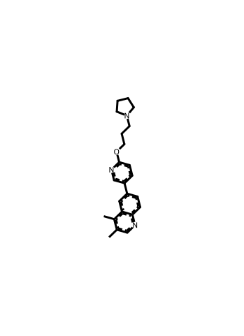 Cc1cnc2ccc(-c3ccc(OCCCN4CCCC4)nc3)cc2c1C